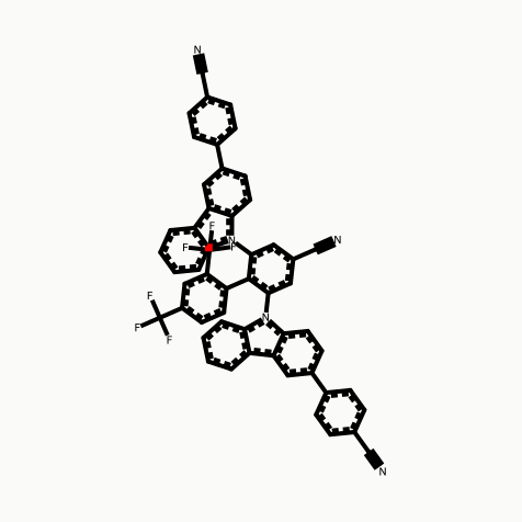 N#Cc1ccc(-c2ccc3c(c2)c2ccccc2n3-c2cc(C#N)cc(-n3c4ccccc4c4cc(-c5ccc(C#N)cc5)ccc43)c2-c2ccc(C(F)(F)F)cc2C(F)(F)F)cc1